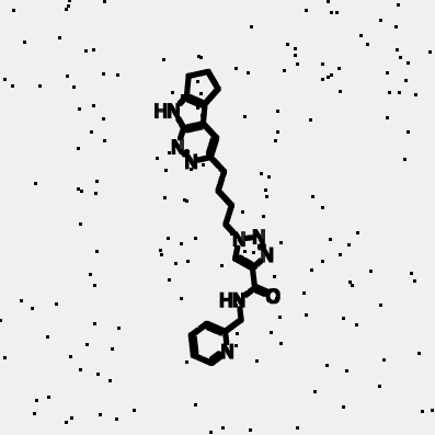 O=C(NCc1ccccn1)c1cn(CCCCc2cc3c4c([nH]c3nn2)CCC4)nn1